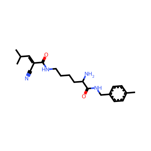 Cc1ccc(CNC(=O)C(N)CCCCNC(=O)C(C#N)=CC(C)C)cc1